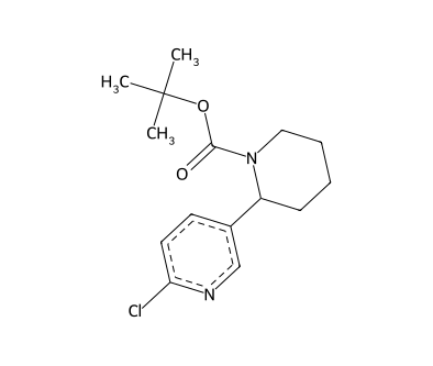 CC(C)(C)OC(=O)N1CCCCC1c1ccc(Cl)nc1